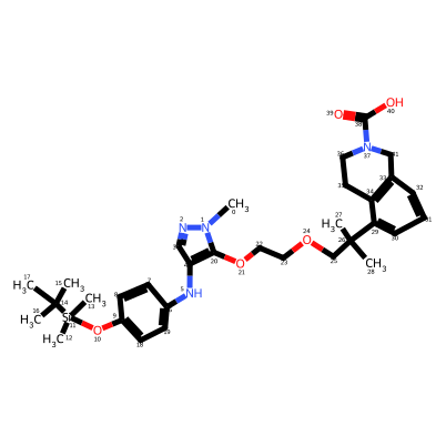 Cn1ncc(Nc2ccc(O[Si](C)(C)C(C)(C)C)cc2)c1OCCOCC(C)(C)c1cccc2c1CCN(C(=O)O)C2